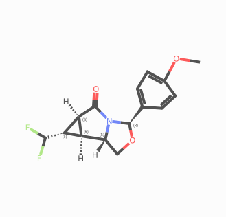 COc1ccc([C@H]2OC[C@@H]3[C@@H]4[C@H](C(=O)N23)[C@H]4C(F)F)cc1